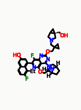 CCc1c(F)ccc2cc(O)cc(-c3nc4c5c(nc(OCC6(CN7CC8C[C@@]8(CO)C7)CC6)nc5c3F)N3C[C@@H]5CC[C@@H](N5)[C@H]3CO4)c12